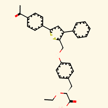 CCO[C@@H](Cc1ccc(OCc2sc(-c3ccc(C(C)=O)cc3)cc2-c2ccccc2)cc1)C(=O)O